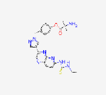 CCNC(=S)Nc1ccc2ncc(-c3cnn(Cc4ccc(OC(=O)C(C)(C)N)cc4)c3)nc2n1